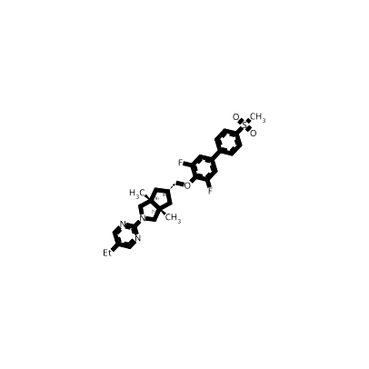 CCc1cnc(N2C[C@]3(C)C[C@H](COc4c(F)cc(-c5ccc(S(C)(=O)=O)cc5)cc4F)C[C@]3(C)C2)nc1